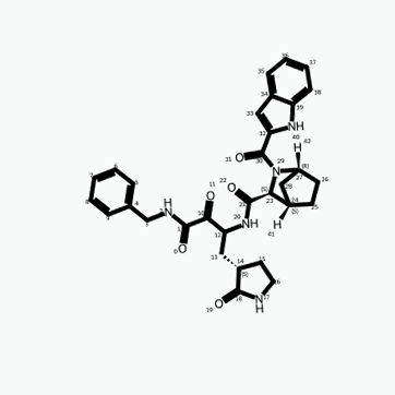 O=C(NCc1ccccc1)C(=O)C(C[C@@H]1CCNC1=O)NC(=O)[C@@H]1[C@H]2CC[C@H](C2)N1C(=O)c1cc2ccccc2[nH]1